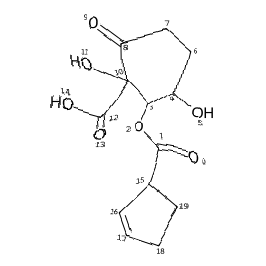 O=C(OC1C(O)CCC(=O)C1(O)C(=O)O)C1C=CCC1